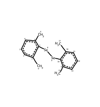 Cc1cccc(C)c1[Se][Se]c1c(C)cccc1C